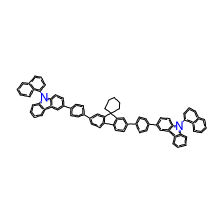 c1ccc2c(-n3c4ccccc4c4cc(-c5ccc(-c6ccc7c(c6)C6(CCCCC6)c6cc(-c8ccc(-c9ccc%10c(c9)c9ccccc9n%10-c9cccc%10ccccc9%10)cc8)ccc6-7)cc5)ccc43)cccc2c1